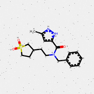 Cc1cc(C(=O)N(CCC2CCS(=O)(=O)C2)Cc2ccccc2)[nH]n1